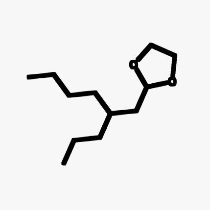 CCCCC(CCC)CC1OCCO1